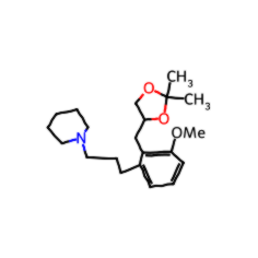 COc1cccc(CCCN2CCCCC2)c1CC1COC(C)(C)O1